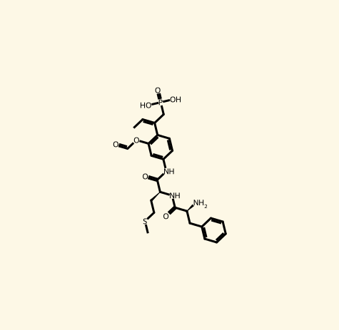 C/C=C(/CP(=O)(O)O)c1ccc(NC(=O)[C@H](CCSC)NC(=O)[C@@H](N)Cc2ccccc2)cc1OC=O